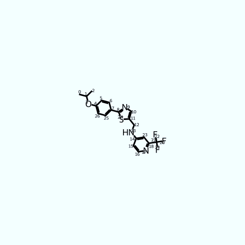 CC(C)Oc1ccc(-c2ncc(CNc3ccnc(C(F)(F)F)c3)s2)cc1